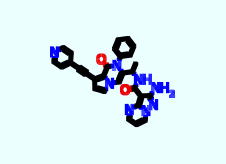 CC(NC(=O)c1c(N)nn2cccnc12)c1cn2ccc(C#Cc3ccncc3)c2c(=O)n1-c1ccccc1